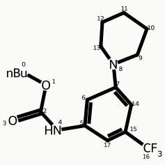 CCCCOC(=O)Nc1cc(N2CCCCC2)cc(C(F)(F)F)c1